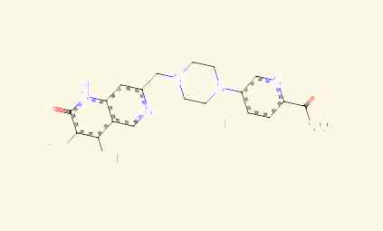 CNC(=O)c1ccc(N2CCN(Cc3cc4[nH]c(=O)c(C(F)(F)F)c(C)c4cn3)C[C@H]2C)cn1